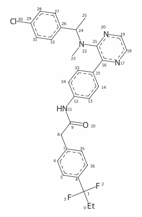 CCC(F)(F)c1ccc(CC(=O)Nc2ccc(-c3nccnc3N(C)C(C)c3ccc(Cl)cc3)cc2)cc1